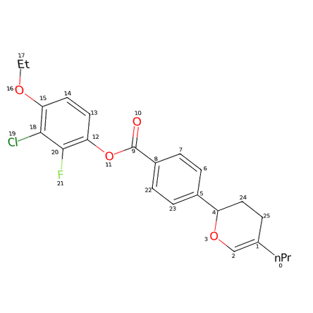 CCCC1=COC(c2ccc(C(=O)Oc3ccc(OCC)c(Cl)c3F)cc2)CC1